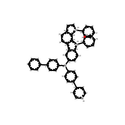 c1ccc(-c2ccc(N(c3ccc(-c4ccncc4)cc3)c3ccc4c(c3)c3ccc5ccn(-c6ccccc6)c5c3n4-c3ccccc3)cc2)cc1